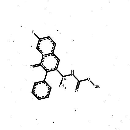 C[C@H](NC(=O)OC(C)(C)C)c1cc2ccc(F)cn2c(=O)c1-c1ccccc1